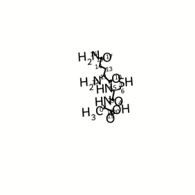 C[C@H](NC(=O)[C@H](CS)NC(=O)[C@@H](N)CCC(N)=O)C(=O)O